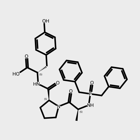 C[C@H](NP(=O)(Cc1ccccc1)Cc1ccccc1)C(=O)N1CCC[C@H]1C(=O)N[C@@H](Cc1ccc(O)cc1)C(=O)O